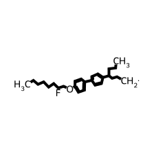 [CH2]CCC(CCC)c1ccc(-c2ccc(OCC(F)CCCCCC)cc2)cc1